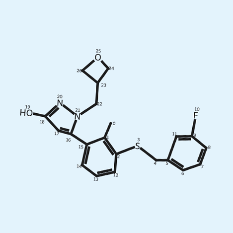 Cc1c(SCc2cccc(F)c2)cccc1-c1cc(O)nn1CC1COC1